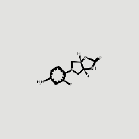 Nc1ccc(N2C[C@@H]3OC(=O)N[C@@H]3C2)c(F)c1